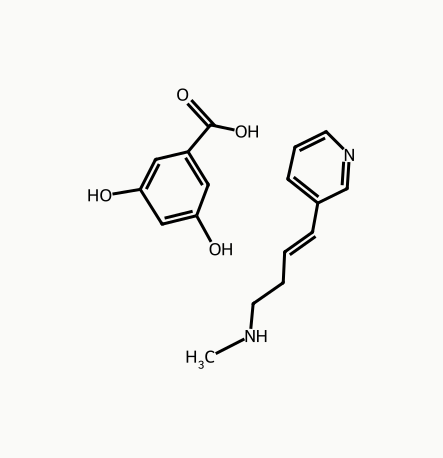 CNCC/C=C/c1cccnc1.O=C(O)c1cc(O)cc(O)c1